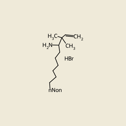 Br.C=CC(C)(C)C(N)CCCCCCCCCCCCCCC